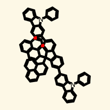 C1=CC(C2(C3C=Cc4cccc5cccc3c45)c3cc(-c4ccc5c6ccccc6n(-c6ccccc6)c5c4)ccc3-c3ccc(-c4ccc5c6ccccc6n(-c6ccccc6)c5c4)cc32)c2cccc3cccc1c23